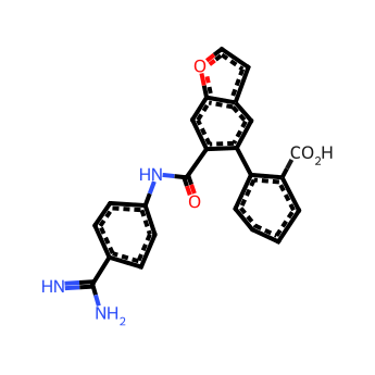 N=C(N)c1ccc(NC(=O)c2cc3occc3cc2-c2ccccc2C(=O)O)cc1